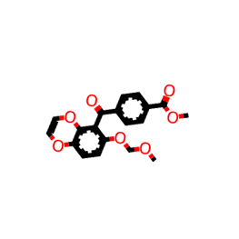 COCOc1ccc2c(c1C(=O)c1ccc(C(=O)OC)cc1)OC=CO2